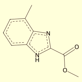 COC(=O)c1nc2c(C)cccc2[nH]1